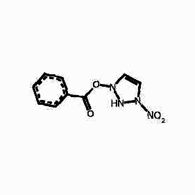 O=C(ON1C=CN([N+](=O)[O-])N1)c1ccccc1